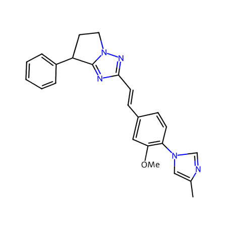 COc1cc(C=Cc2nc3n(n2)CCC3c2ccccc2)ccc1-n1cnc(C)c1